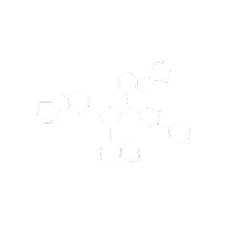 c1ccc(-c2ccc(N(c3cc(-c4ccc5sc6ccccc6c5c4)cc(-c4cccc5ccccc45)c3)c3cccc4c3oc3ccccc34)cc2)cc1